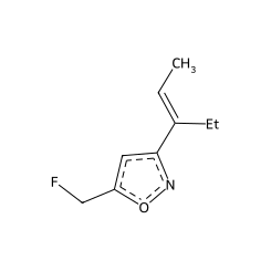 CC=C(CC)c1cc(CF)on1